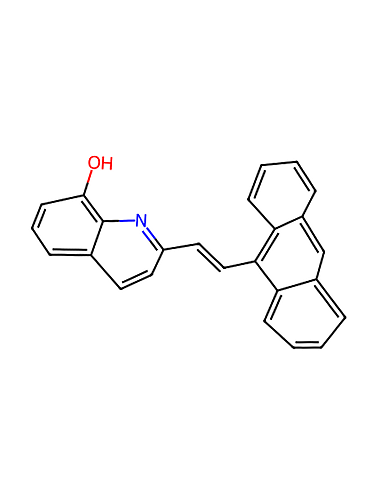 Oc1cccc2ccc(C=Cc3c4ccccc4cc4ccccc34)nc12